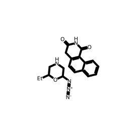 CCC1CNCC(N=[N+]=[N-])O1.O=C1Cc2ccc3ccccc3c2C(=O)N1